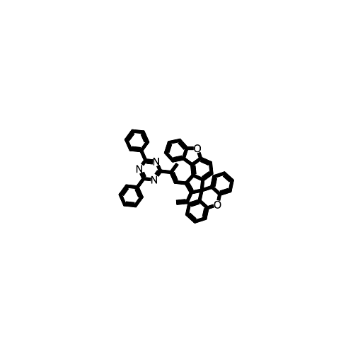 C=CC1=C(/C=C(\C)c2nc(-c3ccccc3)nc(-c3ccccc3)n2)c2c(ccc3oc4ccccc4c23)C12c1ccccc1Oc1ccccc12